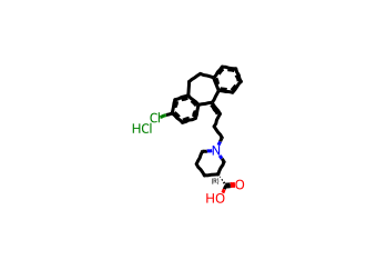 Cl.O=C(O)[C@@H]1CCCN(CCC=C2c3ccccc3CCc3cc(Cl)ccc32)C1